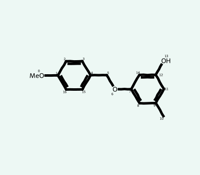 COc1ccc(COc2cc(C)cc(O)c2)cc1